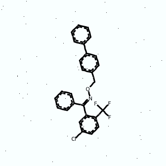 FC(F)(F)c1ccc(Cl)cc1/C(=N/OCc1ccc(-c2ccccc2)cc1)c1ccccc1